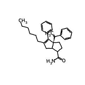 C=C(c1ccccc1)[C@@]12CCC(C(N)=O)C1CC(CCCCCC)=C2c1ccccc1